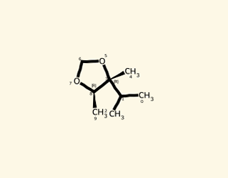 CC(C)[C@@]1(C)OCO[C@@H]1C